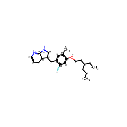 CCCC(CC)CCOc1cc(F)c(CC2CNC3=NC=CCC32)cc1C